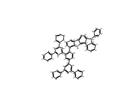 C1=CCCC(c2nc(-c3ccccc3)nc(-c3cc(-c4cc(-c5ccccc5)cc(-c5ccccc5)c4)ccc3-c3cccc4c3sc3c4ccc4c3c3ccccc3n4-c3ccccc3)n2)=C1